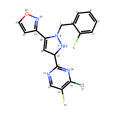 Fc1ccccc1CN1NC(c2ncc(F)c(Cl)n2)C=C1c1ccon1